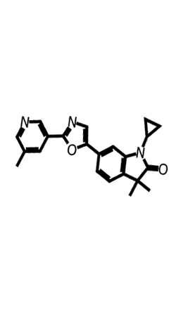 Cc1cncc(-c2ncc(-c3ccc4c(c3)N(C3CC3)C(=O)C4(C)C)o2)c1